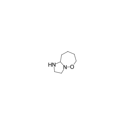 C1CCC2NCCN2OC1